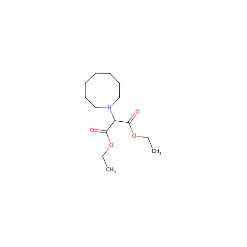 CCOC(=O)C(C(=O)OCC)N1CCCCCCC1